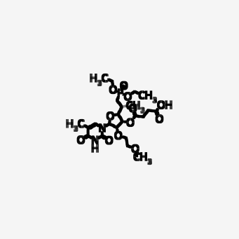 CCOP(=O)(C[C@H](C)C1OC(n2cc(C)c(=O)[nH]c2=O)[C@H](OCCOC)[C@@H]1OC(=O)CCC(=O)O)OCC